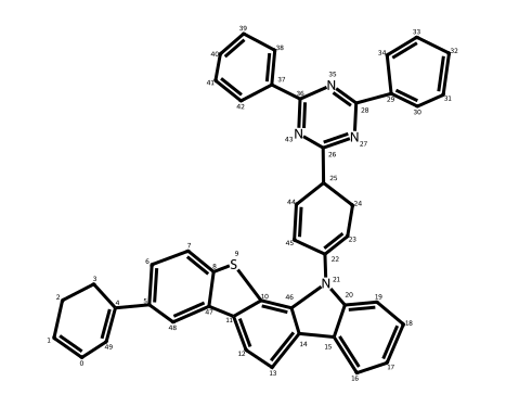 C1=CCCC(c2ccc3sc4c(ccc5c6ccccc6n(C6=CCC(c7nc(-c8ccccc8)nc(-c8ccccc8)n7)C=C6)c54)c3c2)=C1